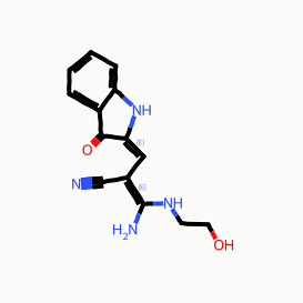 N#CC(/C=C1/Nc2ccccc2C1=O)=C(\N)NCCO